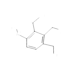 CCc1ccc(N[SiH3])c(CC)c1CC